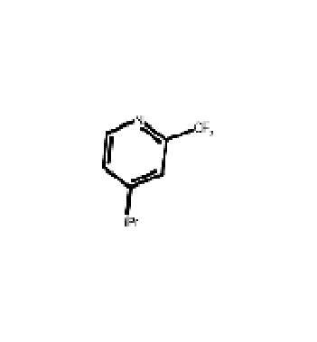 CC(C)c1ccnc(C(F)(F)F)c1